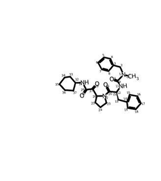 CN(Cc1ccccc1)C(=O)N[C@@H](Cc1ccccc1)C(=O)N1CCCC1C(=O)C(=O)NC1CCCCC1